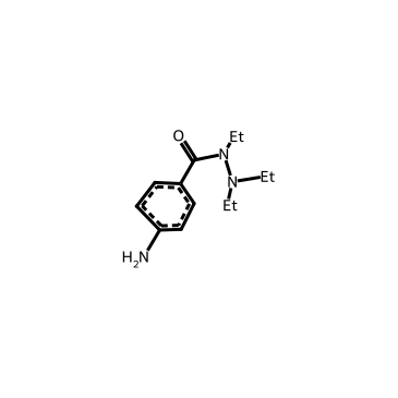 CCN(CC)N(CC)C(=O)c1ccc(N)cc1